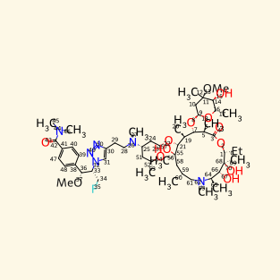 CC[C@H]1OC(=O)[C@H](C)[C@@H](O[C@H]2C[C@@](C)(OC)[C@@H](O)[C@H](C)O2)[C@H](C)[C@@H](O[C@H]2C[C@@H](N(C)CCc3cn([C@H](CF)[C@H](OC)c4ccc(C(=O)N(C)C)cc4)nn3)C[C@@H](C)O2)[C@](C)(O)C[C@@H](C)CN(C)[C@H](C)[C@@H](O)[C@]1(C)O